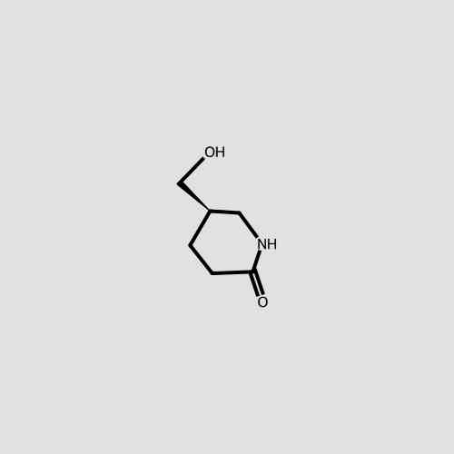 O=C1CC[C@@H](CO)CN1